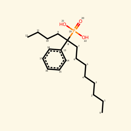 CCCCCCCCC(CCCC)(c1ccccc1)P(=O)(O)O